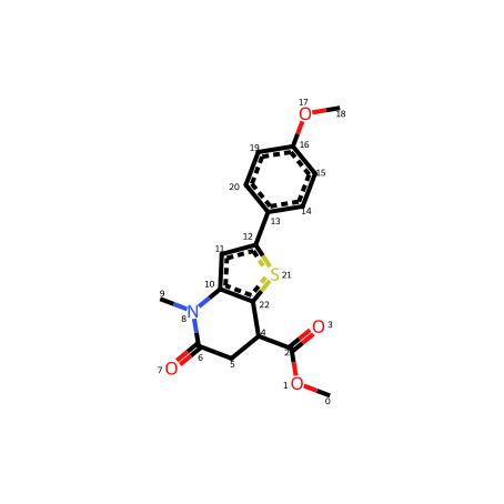 COC(=O)C1CC(=O)N(C)c2cc(-c3ccc(OC)cc3)sc21